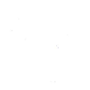 CS(=O)(=O)c1ccc(-c2ccccc2)c(C(=O)N2CCc3c2cccc3C(F)(F)F)c1